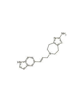 Nc1nc2c(s1)CCN(CC=Cc1ccc3[nH]ccc3c1)CC2